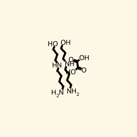 NCCCCNCCCO.NCCCCNCCCO.O=C(O)C(=O)O